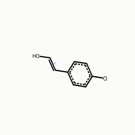 O/C=C/c1ccc(Cl)cc1